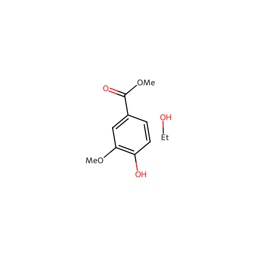 CCO.COC(=O)c1ccc(O)c(OC)c1